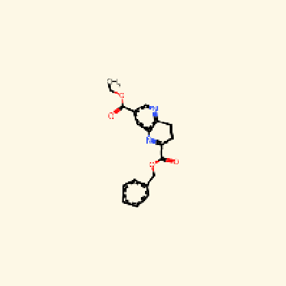 CCOC(=O)c1cnc2c(c1)N=C(C(=O)OCc1ccccc1)CC2